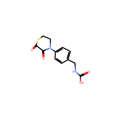 O=C(O)NCc1ccc(N2CCSC(=O)C2=O)cc1